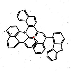 c1ccc2c(c1)-c1cccc3cccc(c13)N2c1c(-c2nc(-c3cccc4sc5ccccc5c34)c3ccccc3n2)ccc2ccccc12